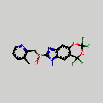 Cc1cccnc1C[S+]([O-])c1nc2cc3c(cc2[nH]1)C(F)(F)OC(F)(F)O3